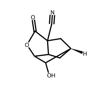 N#CC12C[C@@H]3CC1C(OC2=O)C3O